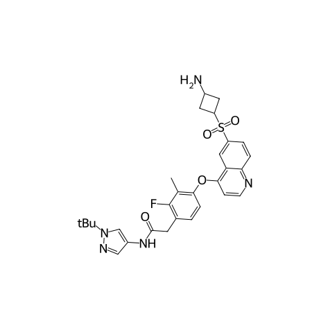 Cc1c(Oc2ccnc3ccc(S(=O)(=O)C4CC(N)C4)cc23)ccc(CC(=O)Nc2cnn(C(C)(C)C)c2)c1F